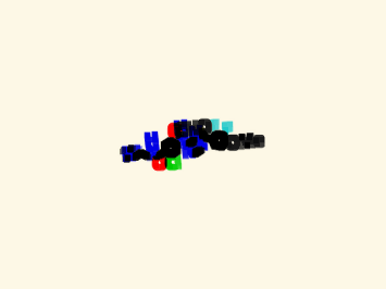 COc1ccc(-c2cnc3c(Nc4ccc(C(=O)NCCC[N+](C)(C)C)c(Cl)c4)nccn23)c(F)c1F.O=C[O-]